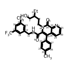 CCC(CO)CCn1c(C(=O)NCc2cc(C(F)(F)F)cc(C(F)(F)F)c2)c(-c2ccc(C)cc2)c2cccnc2c1=O